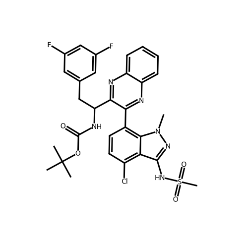 Cn1nc(NS(C)(=O)=O)c2c(Cl)ccc(-c3nc4ccccc4nc3C(Cc3cc(F)cc(F)c3)NC(=O)OC(C)(C)C)c21